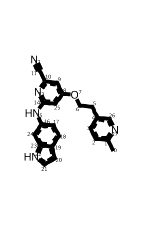 Cc1ccc(CCOc2cc(C#N)nc(Nc3ccc4cc[nH]c4c3)c2)cn1